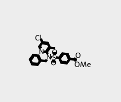 COC(=O)c1ccc(S(=O)(=O)N(Cc2ccccc2)c2ncc(Cl)cc2C)cc1